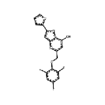 Oc1cc(COc2c(F)cc(F)cc2F)nc2cc(-c3ccco3)nn12